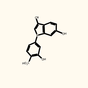 N#Cc1cn(-c2ccc(C(=O)O)c(O)c2)c2cc(O)ccc12